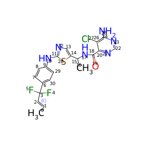 C/C=C/C(F)(F)c1ccc(Nc2ncc(C(C)NC(=O)c3ncnc(N)c3Cl)s2)cc1